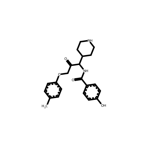 Cc1ccc(OCC(=O)C(NC(=O)c2ccc(O)cc2)C2CCNCC2)cc1